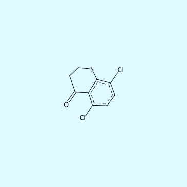 O=C1CCSc2c(Cl)ccc(Cl)c21